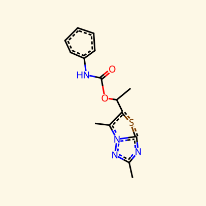 Cc1nc2sc(C(C)OC(=O)Nc3ccccc3)c(C)n2n1